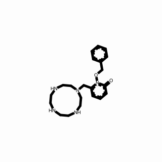 O=c1cccc(CN2CCNCCNCCNCC2)n1OCc1ccccc1